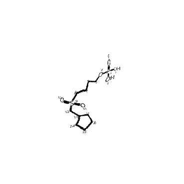 O=P(O)(O)OCCCCS(=O)(=O)CC1CCCC1